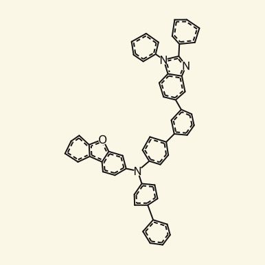 c1ccc(-c2ccc(N(c3ccc(-c4cccc(-c5ccc6c(c5)nc(-c5ccccc5)n6-c5ccccc5)c4)cc3)c3ccc4c(c3)oc3ccccc34)cc2)cc1